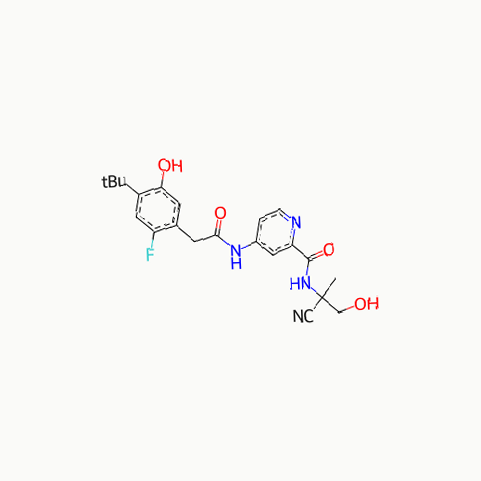 CC(C#N)(CO)NC(=O)c1cc(NC(=O)Cc2cc(O)c(C(C)(C)C)cc2F)ccn1